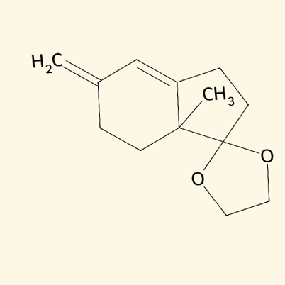 C=C1C=C2CCC3(OCCO3)C2(C)CC1